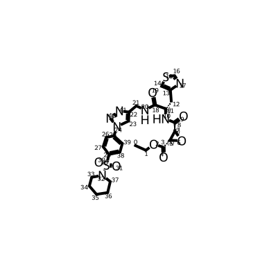 CCOC(=O)[C@H]1O[C@@H]1C(=O)N[C@@H](Cc1cscn1)C(=O)NCc1cn(-c2ccc(S(=O)(=O)N3CCCCC3)cc2)nn1